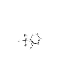 CC1=C(C(F)(F)F)C[C]C=[C]1